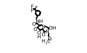 COCCN1C(=O)c2c(O)c(=O)c(C(=O)NCc3cccc(C(F)(F)F)c3)cn2CC1O